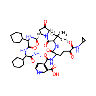 CC(C)(C)C(NC(=O)C(CCC(=O)C(=O)NC1CC1)NC(=O)c1ccncc1C(=O)O)C(=O)N1CC(=O)C[C@H]1C(=O)NC(C(=O)NC(C(N)=O)C1CCCCC1)C1CCCCC1